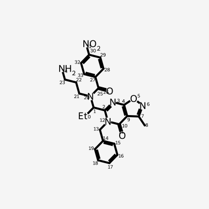 CCC(c1nc2onc(C)c2c(=O)n1Cc1ccccc1)N(CCCN)C(=O)c1ccc([N+](=O)[O-])cc1